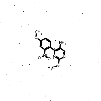 COc1ccc(-c2nc(SC)ncc2N)c([N+](=O)[O-])c1